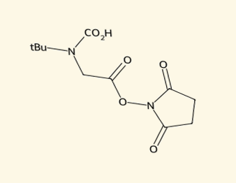 CC(C)(C)N(CC(=O)ON1C(=O)CCC1=O)C(=O)O